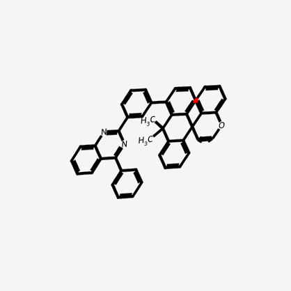 CC1(C)c2ccccc2C2(c3ccccc3Oc3ccccc32)c2cccc(-c3cccc(-c4nc(-c5ccccc5)c5ccccc5n4)c3)c21